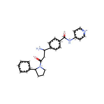 NC(CC(=O)N1CCCC1c1ccccc1)c1ccc(C(=O)Nc2ccncc2)cc1